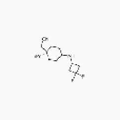 CC(C)[C@]1(CC#N)CC[C@@H](NC2CC(F)(F)C2)CC1